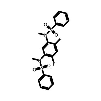 Cc1cc(F)c(N(C)S(=O)(=O)c2ccccc2)cc1N(C)S(=O)(=O)c1ccccc1